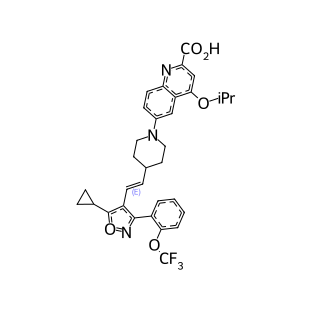 CC(C)Oc1cc(C(=O)O)nc2ccc(N3CCC(/C=C/c4c(-c5ccccc5OC(F)(F)F)noc4C4CC4)CC3)cc12